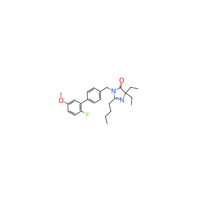 CCCCC1=NC(CC)(CC)C(=O)N1Cc1ccc(-c2cc(OC)ccc2F)cc1